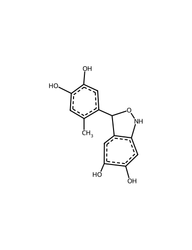 Cc1cc(O)c(O)cc1C1ONc2cc(O)c(O)cc21